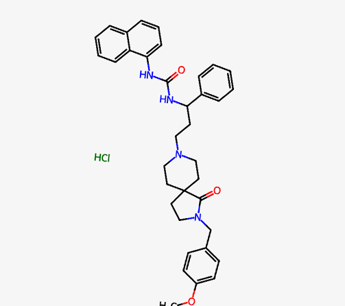 COc1ccc(CN2CCC3(CCN(CCC(NC(=O)Nc4cccc5ccccc45)c4ccccc4)CC3)C2=O)cc1.Cl